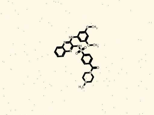 COc1cc(Nc2nc3ccccc3nc2NS(=O)(=O)c2ccc(C(=O)N3CCN(C)CC3)cc2)cc(OC)c1